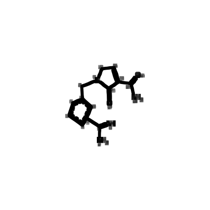 N=C(N)c1cccc(CN2CC=C(C(N)=O)C2=O)c1